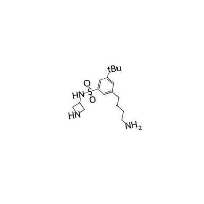 CC(C)(C)c1cc(CCCCN)cc(S(=O)(=O)NC2CNC2)c1